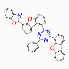 c1ccc(-c2nc(-c3cccc4c3oc3ccccc34)nc(-c3cccc4oc5c(-c6nc7ccccc7o6)cccc5c34)n2)cc1